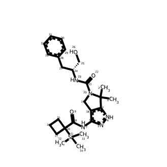 CC1(C)c2[nH]nc(NC(=O)C3([Si](C)(C)C)CCC3)c2CN1C(=O)N[C@@H](CO)Cc1ccccc1